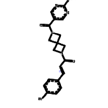 COc1ncc(C(=O)N2CC3(CN(C(=O)/C=C/c4ccc(Br)cc4)C3)C2)cn1